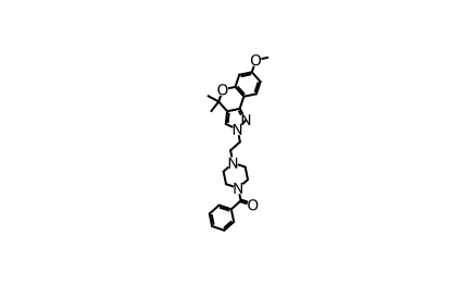 COc1ccc2c(c1)OC(C)(C)c1cn(CCN3CCN(C(=O)c4ccccc4)CC3)nc1-2